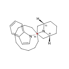 c1ccc2c(c1)ccn2[C@H]1C[C@H]2CCC[C@@H](C1)N2C1CCCCCCCCC1